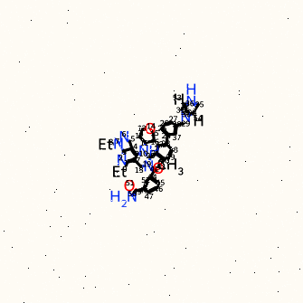 CCc1nc2c(cnn2CC)c(NC2CCOCC2)c1CN(Cc1cc(-c2cccc(CN3C[C@@H]4C[C@H]3CN4)c2)ccc1C)C(=O)c1cccc(C(N)=O)c1